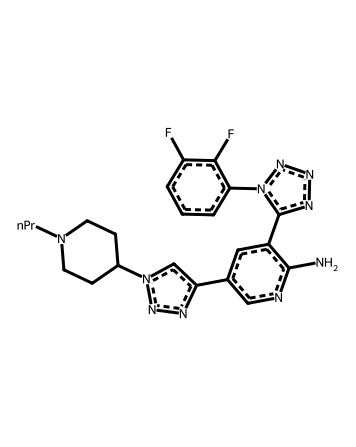 CCCN1CCC(n2cc(-c3cnc(N)c(-c4nnnn4-c4cccc(F)c4F)c3)nn2)CC1